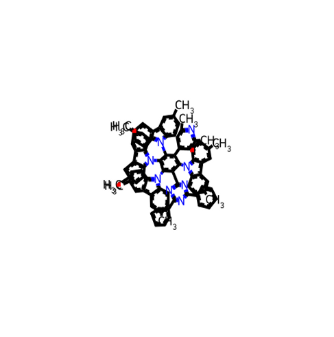 Cc1ccc2c(c1)c1cc(C)ccc1n2-c1c(-c2cc(C)nc(C)c2)c(-n2c3ccc(C)cc3c3cc(C)ccc32)c(-n2c3ccc(C)cc3c3cc(C)ccc32)c(-n2c3ccc(C)cc3c3cc(C)ccc32)c1-c1nc(-c2ccccc2)nc(-c2ccccc2)n1